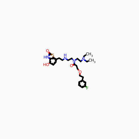 CCN(CC)CCN(CCNCCc1ccc(O)c2[nH]c(=O)sc12)C(=O)CCOCCc1cccc(F)c1